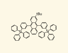 CC(C)(C)c1ccc2c(-c3cccc([Si](c4ccccc4)(c4ccccc4)c4ccccc4)c3)c3ccccc3c(-c3cccc([Si](c4ccccc4)(c4ccccc4)c4ccccc4)c3)c2c1